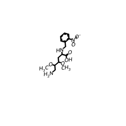 COC(CN)C(CC(NCc1ccccc1[N+](=O)[O-])C(=O)O)OC